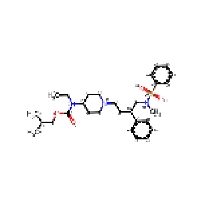 CCN(C(=O)OCC(C)C)C1CCN(CCC(CN(C)S(=O)(=O)c2ccccc2)c2ccccc2)CC1